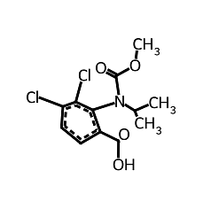 COC(=O)N(c1c(C(=O)O)ccc(Cl)c1Cl)C(C)C